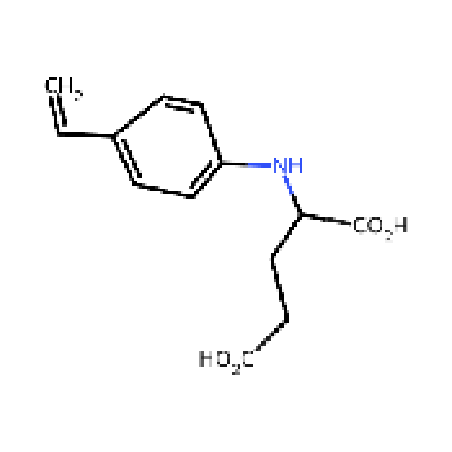 C=Cc1ccc(NC(CCC(=O)O)C(=O)O)cc1